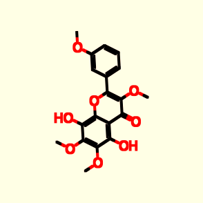 COc1cccc(-c2oc3c(O)c(OC)c(OC)c(O)c3c(=O)c2OC)c1